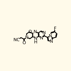 N#CCC(=O)N1CCC[C@@H](Nc2nc(-c3cnc4ccc(F)cn34)ncc2[N+](=O)[O-])C1